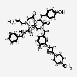 C=CCN1CC(=O)N2[C@@H](Cc3ccc(O)cc3)C(=O)N(Cc3ccc(F)c(N4CC(N5CCN(C)CC5)C4)n3)C[C@@H]2N1C(=O)NCc1ccccc1